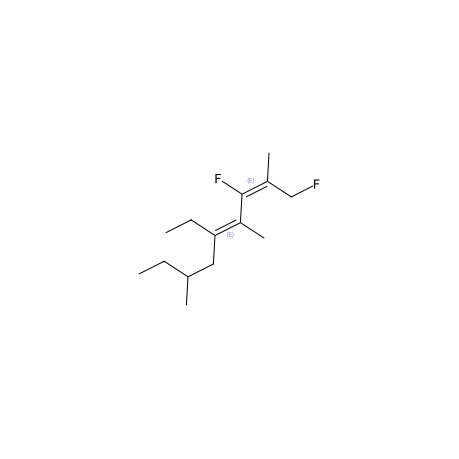 CC/C(CC(C)CC)=C(C)\C(F)=C(\C)CF